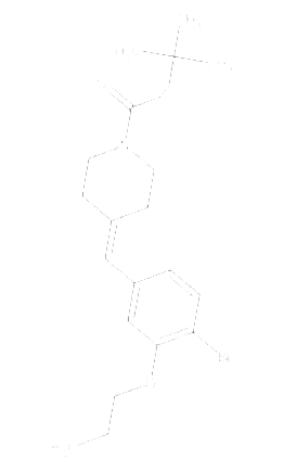 CCCOc1cc(C=C2CCN(C(=O)OC(C)(C)C)CC2)ccc1Br